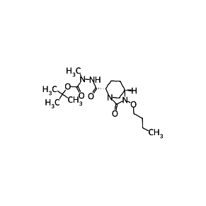 CCCCON1C(=O)N2C[C@@H]1CC[C@H]2C(=O)NN(C)C(=O)OC(C)(C)C